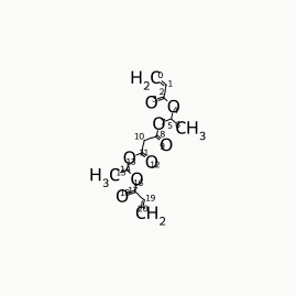 C=CC(=O)OC(C)OC(=O)CC(=O)OC(C)OC(=O)C=C